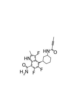 CC#CC(=O)NC1CCC[C@@H](c2c(F)c(F)c(C(N)=O)c3[nH]c(C)c(F)c23)C1